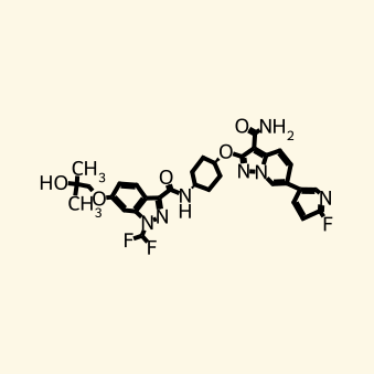 CC(C)(O)COc1ccc2c(C(=O)N[C@H]3CC[C@H](Oc4nn5cc(-c6ccc(F)nc6)ccc5c4C(N)=O)CC3)nn(C(F)F)c2c1